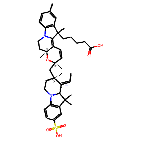 C/C=C1/C2N(CC[C@@]1(C)C[C@]1(C)C=CC3=C4N(CC[C@]3(C)O1)c1ccc(C)cc1C4(C)CCCCC(=O)O)c1ccc(S(=O)(=O)O)cc1C2(C)C